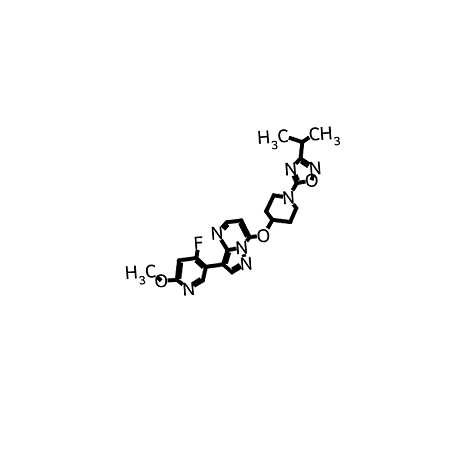 COc1cc(F)c(-c2cnn3c(OC4CCN(c5nc(C(C)C)no5)CC4)ccnc23)cn1